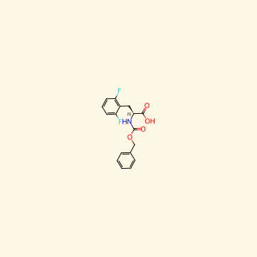 O=C(N[C@@H](Cc1c(F)cccc1F)C(=O)O)OCc1ccccc1